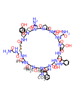 CCCC[C@H]1C(=O)N(C)[C@@H](CCCC)C(=O)N[C@@H](CC(C)C)C(=O)N[C@H](C(=O)NCC(N)=O)CSCC(=O)N[C@@H](Cc2ccc(O)cc2)C(=O)N(C)[C@@H](C)C(=O)N[C@@H](CC(N)=O)C(=O)N2CCC[C@H]2C(=O)N[C@@H](CO)C(=O)N[C@@H](CCC(N)=O)C(=O)N2C[C@H](O)C[C@H]2C(=O)N[C@@H](Cc2c[nH]c3ccccc23)C(=O)N[C@@H](CO)C(=O)N[C@@H](Cc2cn(CC(=O)O)c3ccccc23)C(=O)N1C